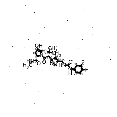 CNC(=O)[C@@H]1C[C@@H](O)CN1C(=O)[C@@H](n1cc(CNC(=O)Nc2ccc(F)c(F)c2)nn1)C(C)(C)C